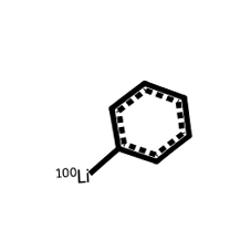 [100Li][c]1ccccc1